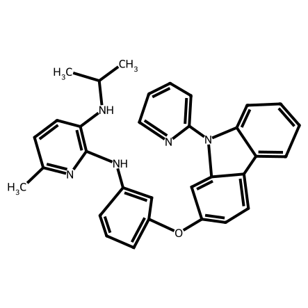 Cc1ccc(NC(C)C)c(Nc2cccc(Oc3ccc4c5ccccc5n(-c5ccccn5)c4c3)c2)n1